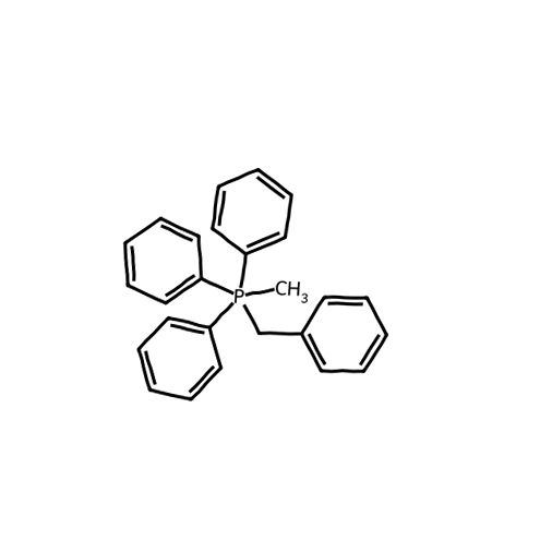 CP(Cc1ccccc1)(c1ccccc1)(c1ccccc1)c1ccccc1